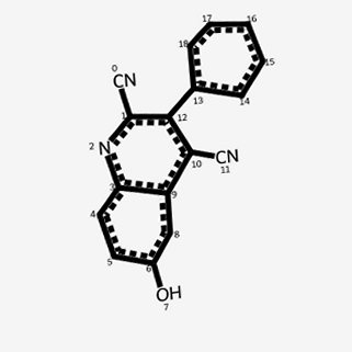 N#Cc1nc2ccc(O)cc2c(C#N)c1-c1ccccc1